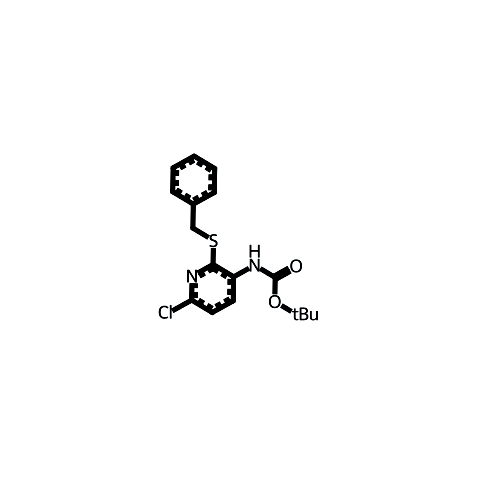 CC(C)(C)OC(=O)Nc1ccc(Cl)nc1SCc1ccccc1